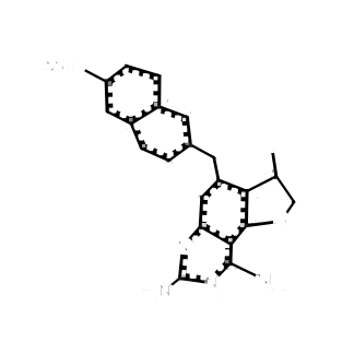 COc1ccc2cc(Cc3cc4nc(N)nc(N)c4c4c3C(C)CO4)ccc2c1